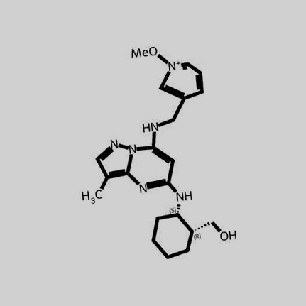 CO[n+]1cccc(CNc2cc(N[C@H]3CCCC[C@H]3CO)nc3c(C)cnn23)c1